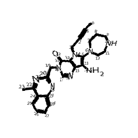 CC#CCn1c(N2CCCNCC2)c(N)c2ncn(Cc3nc(C)c4ccccc4n3)c(=O)c21